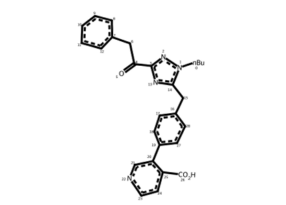 CCCCn1nc(C(=O)Cc2ccccc2)nc1Cc1ccc(-c2cnccc2C(=O)O)cc1